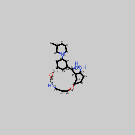 CC1CCCN(C2CC3COCNCCCOC4CCC5NNC(C(C3)C2)C5C4)C1